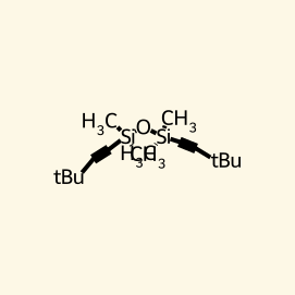 CC(C)(C)C#C[Si](C)(C)O[Si](C)(C)C#CC(C)(C)C